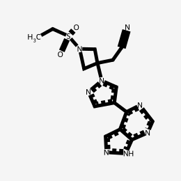 CCS(=O)(=O)N1CC(CC#N)(n2cc(-c3ncnc4[nH]ncc34)cn2)C1